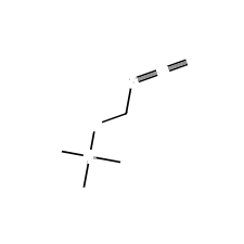 CC(C)[Si](C)(C)OCN=C=O